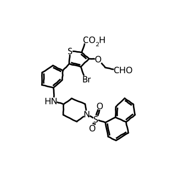 O=CCOc1c(C(=O)O)sc(-c2cccc(NC3CCN(S(=O)(=O)c4cccc5ccccc45)CC3)c2)c1Br